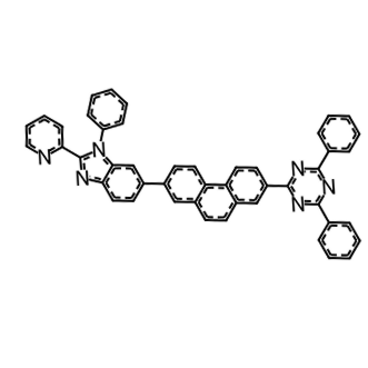 c1ccc(-c2nc(-c3ccccc3)nc(-c3ccc4c(ccc5cc(-c6ccc7nc(-c8ccccn8)n(-c8ccccc8)c7c6)ccc54)c3)n2)cc1